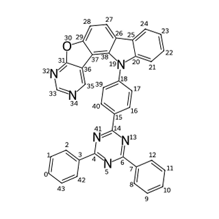 c1ccc(-c2nc(-c3ccccc3)nc(-c3ccc(-n4c5ccccc5c5ccc6oc7ncncc7c6c54)cc3)n2)cc1